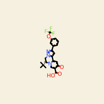 CC(C)(C)[C@@H]1Cn2nc(-c3cccc(OC(F)(F)F)c3)cc2-c2cc(=O)c(C(=O)O)cn21